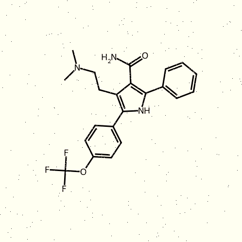 CN(C)CCc1c(-c2ccc(OC(F)(F)F)cc2)[nH]c(-c2ccccc2)c1C(N)=O